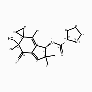 CC1=C2C(=CC(C)(C)[C@@H]2OC(=O)[C@@H]2CCCN2)C(=O)C(C)(O)C12CC2